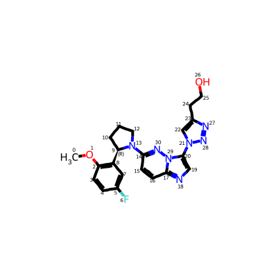 COc1ccc(F)cc1[C@H]1CCCN1c1ccc2ncc(-n3cc(CCO)nn3)n2n1